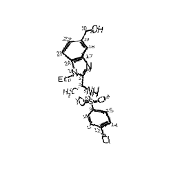 CCn1c([C@@H](C)NS(=O)(=O)c2ccc(Cl)cc2)nc2cc(CO)ccc21